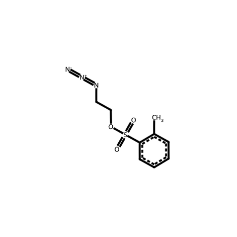 Cc1ccccc1S(=O)(=O)OCCN=[N+]=[N-]